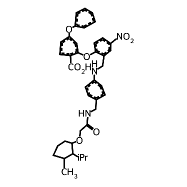 CC(C)C1C(C)CCCC1OCC(=O)NCc1ccc(NCc2cc([N+](=O)[O-])ccc2Oc2cc(Oc3ccccc3)ccc2C(=O)O)cc1